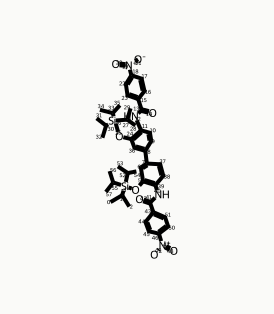 CC(C)[Si](Oc1cc(-c2ccc(NC(=O)c3ccc([N+](=O)[O-])cc3)c(O[Si](C(C)C)(C(C)C)C(C)C)c2)ccc1NC(=O)c1ccc([N+](=O)[O-])cc1)(C(C)C)C(C)C